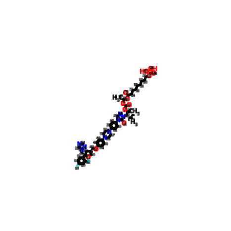 CC[C@@H](C(C)OC(=O)OC(C)OC(=O)CCCCCCCCOP(=O)(O)O)n1ncn(-c2ccc(N3CCN(c4ccc(OC[C@@H]5CO[C@@](Cn6cncn6)(c6ccc(F)cc6F)C5)cc4)CC3)cc2)c1=O